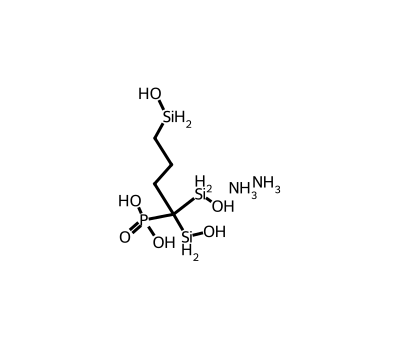 N.N.O=P(O)(O)C(CCC[SiH2]O)([SiH2]O)[SiH2]O